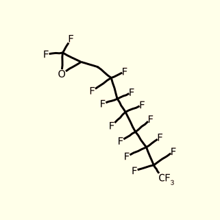 FC1(F)OC1CC(F)(F)C(F)(F)C(F)(F)C(F)(F)C(F)(F)C(F)(F)C(F)(F)F